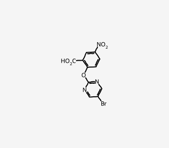 O=C(O)c1cc([N+](=O)[O-])ccc1Oc1ncc(Br)cn1